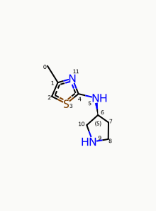 Cc1csc(N[C@H]2CCNC2)n1